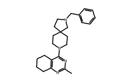 Cc1nc2c(c(N3CCC4(CCN(Cc5ccccc5)C4)CC3)n1)CCCC2